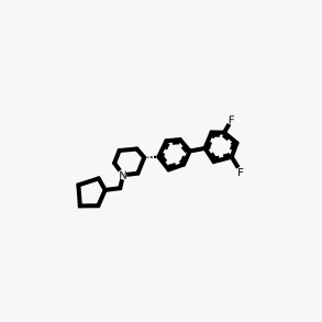 Fc1cc(F)cc(-c2ccc([C@H]3CCCN(CC4CCCC4)C3)cc2)c1